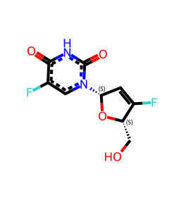 O=c1[nH]c(=O)n([C@@H]2C=C(F)[C@H](CO)O2)cc1F